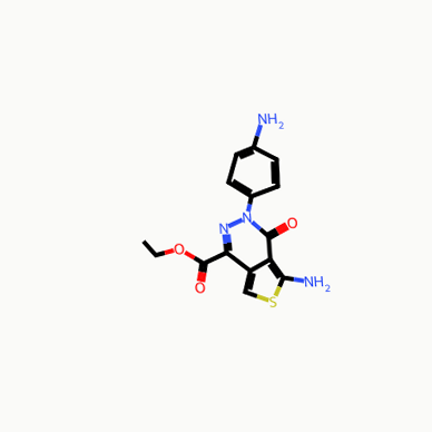 CCOC(=O)c1nn(-c2ccc(N)cc2)c(=O)c2c(N)scc12